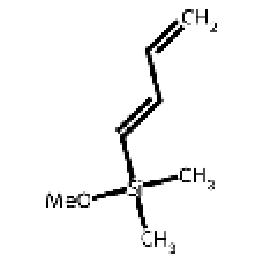 C=CC=C[Si](C)(C)OC